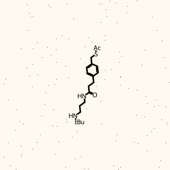 CC(=O)SCc1ccc(CCC(=O)NCCCNC(C)(C)C)cc1